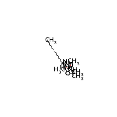 CCCCCCCCCCCCCCc1nc(NC(=O)Nc2c(C(C)C)cccc2C(C)C)n(C(C)=O)n1